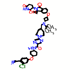 CC(C)N(CC1CCN(c2cnc(C(=O)N[C@H]3CC[C@H](Oc4ccc(C#N)c(Cl)c4)CC3)cn2)CC1)[C@H]1C[C@H](Oc2ccc3c(c2)C2(CC2)N(C2CCC(=O)NC2O)C3=O)C1